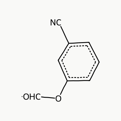 N#Cc1cccc(O[C]=O)c1